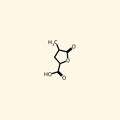 CC1CC(C(=O)O)OC1=O